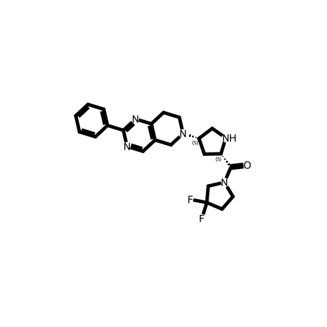 O=C([C@@H]1C[C@H](N2CCc3nc(-c4ccccc4)ncc3C2)CN1)N1CCC(F)(F)C1